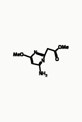 COC(=O)Cc1nc(N)cc(OC)n1